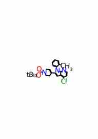 Cc1ccccc1-n1c(C2=CCN(C(=O)OC(C)(C)C)CC2)cc2c(Cl)ccnc21